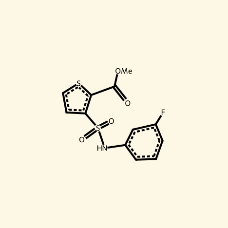 COC(=O)c1sccc1S(=O)(=O)Nc1cccc(F)c1